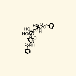 O=C(NP(O)OC[C@H]1O[C@@H](n2ccc(NC(=O)c3ccccc3)nc2=O)[C@H](O)[C@@H]1O)OCc1ccccc1